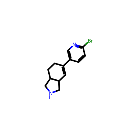 Brc1ccc(C2=CC3CNCC3CC2)cn1